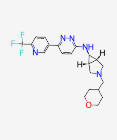 FC(F)(F)c1ccc(-c2ccc(N[C@H]3[C@@H]4CN(CC5CCOCC5)C[C@@H]43)nn2)cn1